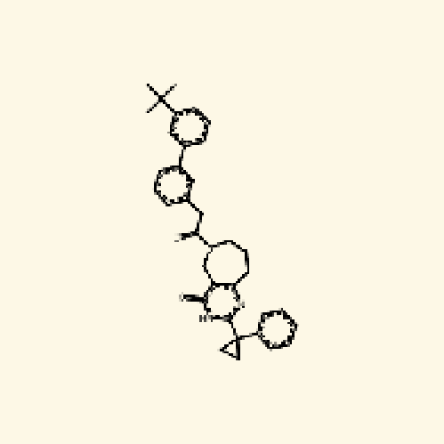 CC(C)(C)c1cccc(-c2cccc(CC(=O)N3CCCc4nc(C5(c6ccccc6)CC5)[nH]c(=O)c4C3)c2)c1